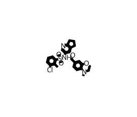 Cc1c(Cl)cccc1S(=O)(=O)Nc1cnc2c(c1OCc1ccc3c(c1)OCCN3C)CCC2